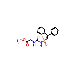 COC(=O)CNC(=O)NS(=O)(=O)C=C(c1ccccc1)c1ccccc1